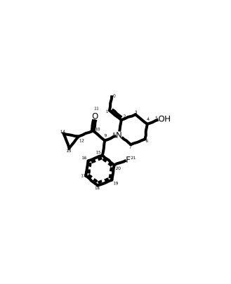 CC=C1CC(O)CCN1C(C(=O)C1CC1)c1ccccc1F